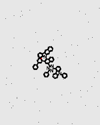 c1ccc(-c2cccc(-c3cc(-c4nc(-c5ccccc5)nc(-c5cccc6c5c5ccccc5n6-c5ccccc5)n4)c4ccccc4c3-n3c4ccccc4c4cc5ccccc5cc43)c2)cc1